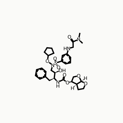 CN(C)C(=O)CNc1cccc(S(=O)(=O)N(C[C@@H](O)[C@H](Cc2ccccc2)NC(=O)O[C@H]2CO[C@H]3OCC[C@H]32)OC2CCCC2)c1